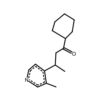 Cc1cnccc1C(C)CC(=O)C1CCCCC1